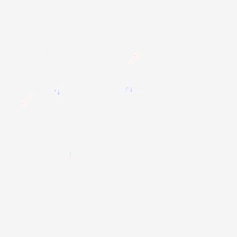 O=C(NCc1cccc(-c2ccccc2)c1)c1ccc2c(c1)N(CC1C=CC=C1F)C(=O)CS2